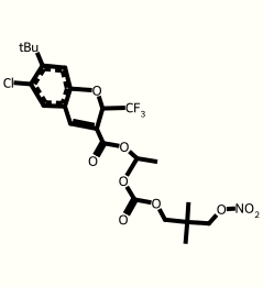 CC(OC(=O)OCC(C)(C)CO[N+](=O)[O-])OC(=O)C1=Cc2cc(Cl)c(C(C)(C)C)cc2OC1C(F)(F)F